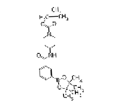 CC(C)(C)OC(=O)N1CCC(NC(=O)c2cccc(B3OC(C)(C)C(C)(C)O3)c2)CC1